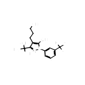 CCCCc1c(C(C)(C)C)nn(-c2cccc(C(F)(F)F)c2)c1O